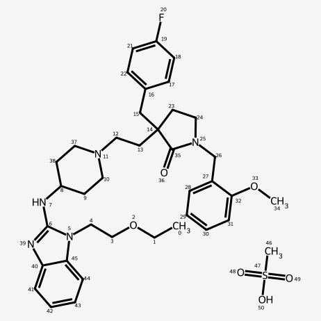 CCOCCn1c(NC2CCN(CCC3(Cc4ccc(F)cc4)CCN(Cc4ccccc4OC)C3=O)CC2)nc2ccccc21.CS(=O)(=O)O